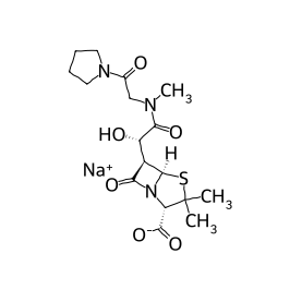 CN(CC(=O)N1CCCC1)C(=O)[C@@H](O)[C@@H]1C(=O)N2[C@@H]1SC(C)(C)[C@@H]2C(=O)[O-].[Na+]